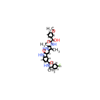 COc1cccc(C(O)C(=O)Nc2c(C)[nH]c(/C=C3\C(=O)Nc4ccc(C(=O)N[C@H](C)c5ccc(F)cc5)cc43)c2C)c1